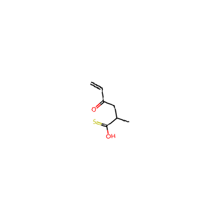 C=CC(=O)CC(C)C(O)=S